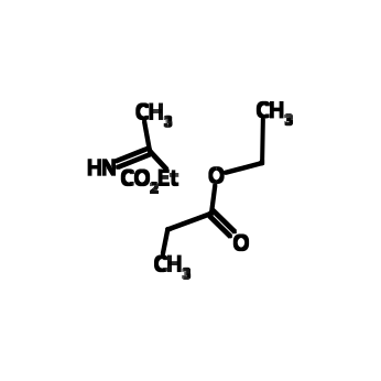 CCOC(=O)C(C)=N.CCOC(=O)CC